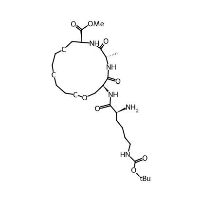 COC(=O)[C@@H]1CCCCCCCCOC[C@H](NC(=O)[C@@H](N)CCCCNC(=O)OC(C)(C)C)C(=O)N[C@@H](C)C(=O)N1